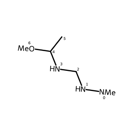 CNNCNC(C)OC